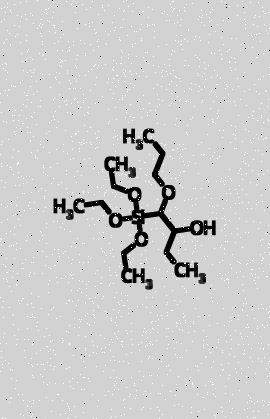 CCCOC(C(O)CC)[Si](OCC)(OCC)OCC